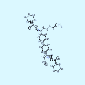 CCCCC/C(=N\OC(=O)N1CCCCC1)c1ccc(-c2ccc(/C(CC#N)=N/OC(=O)N3CCCCC3)cc2)cc1